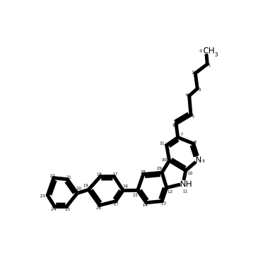 CCCCC/C=C/c1cnc2[nH]c3ccc(-c4ccc(-c5ccccc5)cc4)cc3c2c1